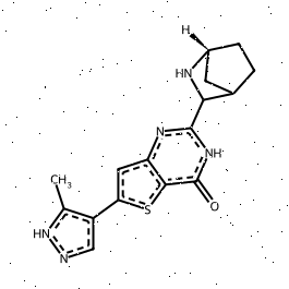 Cc1[nH]ncc1-c1cc2nc(C3N[C@@H]4CCC3C4)[nH]c(=O)c2s1